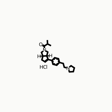 CC(C)C(=O)N1C[C@H]2CC=C(c3ccc(CCN4CCCC4)cc3)[C@H]2C1.Cl